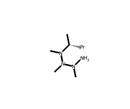 CC(C)[C@@H](C)N(C)N(C)N(C)N